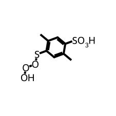 Cc1cc(S(=O)(=O)O)c(C)cc1SOOO